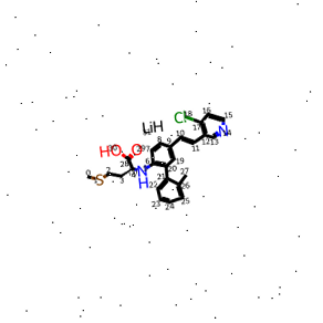 CSCC[C@H](Nc1ccc(C=Cc2cnccc2Cl)cc1-c1ccccc1C)C(=O)O.[LiH]